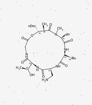 CCCCCCCCCC[C@H]1OC(=O)CNC(=O)[C@H]([C@H](C)O)NC(=O)[C@H](CN)NC(=O)[C@H]([C@H](C)CC)NC(=O)[C@H](CCC)N(C)C(=O)[C@@H]1C